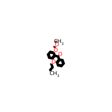 CCCCOc1cccc(OCOC)c1C(=O)c1ccccc1